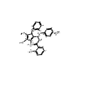 CC1=C(C)C(C)[C]([Ti+2]([NH]C(=O)c2ccccc2C)[SiH](c2ccccc2)c2ccccc2)=C1C.[Cl-].[Cl-]